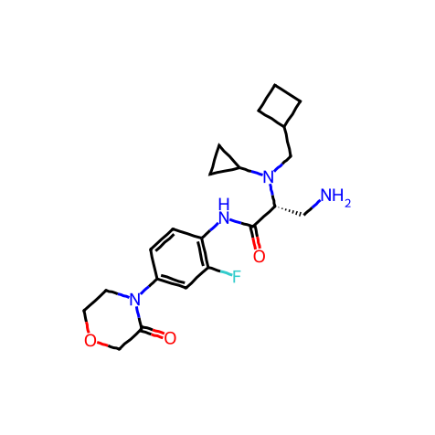 NC[C@H](C(=O)Nc1ccc(N2CCOCC2=O)cc1F)N(CC1CCC1)C1CC1